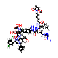 CC(C)[C@H](NC(=O)CCCCCN1C(=O)C=CC1=O)C(=O)NC(CCCNC(N)=O)C(=O)Nc1ccc(C[C@]2(F)CN(C(=O)O)C[C@H]2CN(C(=O)[C@H](C)O)[C@H](c2nc(-c3cc(F)ccc3F)cn2Cc2ccccc2)C2CCOCC2)cc1